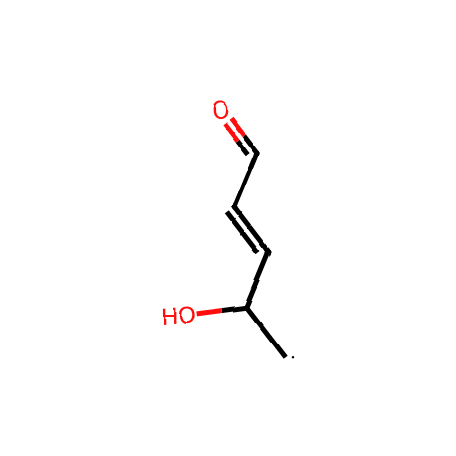 [CH2]C(O)C=CC=O